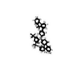 CC(C)(C)c1cc(N(c2ccc(-c3cccc4c3C(C)(C)c3ccccc3-4)cc2)c2ccc3c(c2)C2(CC4CCC2C4)c2ccccc2-3)cc(C(C)(C)C)c1